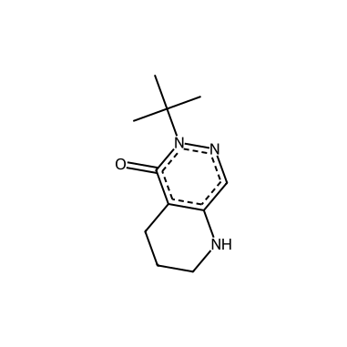 CC(C)(C)n1ncc2c(c1=O)CCCN2